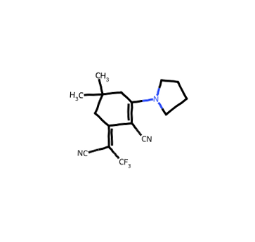 CC1(C)CC(N2CCCC2)=C(C#N)/C(=C(/C#N)C(F)(F)F)C1